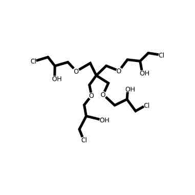 OC(CCl)COCC(COCC(O)CCl)(COCC(O)CCl)COCC(O)CCl